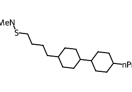 CCCC1CCC(C2CCC(CCCCSNC)CC2)CC1